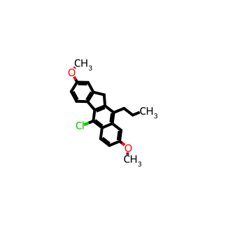 CCCc1c2c(c(Cl)c3ccc(OC)cc13)-c1ccc(OC)cc1C2